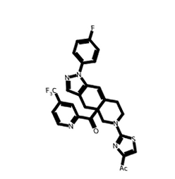 CC(=O)c1csc(N2CCC3=Cc4c(cnn4-c4ccc(F)cc4)CC3(C(=O)c3cc(C(F)(F)F)ccn3)C2)n1